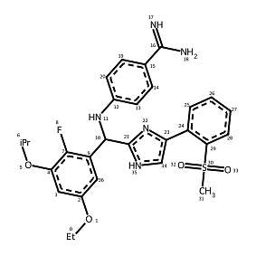 CCOc1cc(OC(C)C)c(F)c(C(Nc2ccc(C(=N)N)cc2)c2nc(-c3ccccc3S(C)(=O)=O)c[nH]2)c1